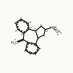 C=C1c2ccccc2C2CC([SiH2]C)CC2c2ccccc21